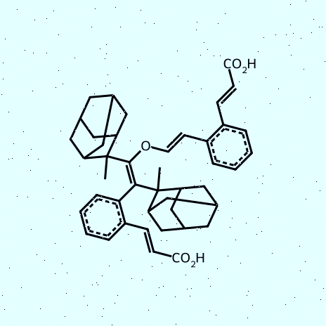 CC1(C(OC=Cc2ccccc2C=CC(=O)O)=C(c2ccccc2C=CC(=O)O)C2(C)C3CC4CC(C3)CC2C4)C2CC3CC(C2)CC1C3